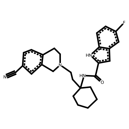 N#Cc1ccc2c(c1)CN(CCC1(NC(=O)c3cc4cc(F)ccc4[nH]3)CCCCC1)CC2